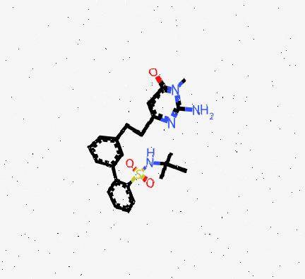 Cn1c(N)nc(CCc2cccc(-c3ccccc3S(=O)(=O)NC(C)(C)C)c2)cc1=O